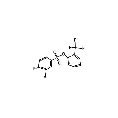 O=S(=O)(Oc1ccccc1C(F)(F)F)c1ccc(F)c(F)c1